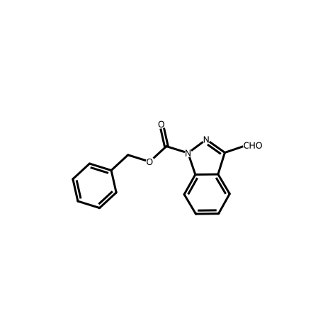 O=Cc1nn(C(=O)OCc2ccccc2)c2ccccc12